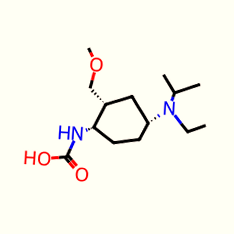 CCN(C(C)C)[C@@H]1CC[C@H](NC(=O)O)[C@H](COC)C1